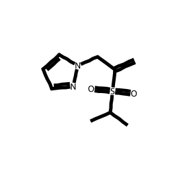 C=C(Cn1cccn1)S(=O)(=O)C(C)C